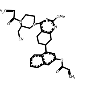 C=CC(=O)Oc1cc(C2CCc3c(nc(OC)nc3N3CCN(C(=O)C=C)C(CC#N)C3)C2)c2ccccc2c1